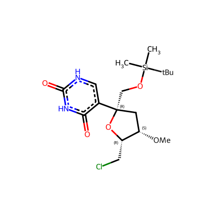 CO[C@H]1C[C@](CO[Si](C)(C)C(C)(C)C)(c2c[nH]c(=O)[nH]c2=O)O[C@H]1CCl